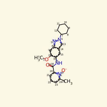 COc1cc2nn(C3CCCCC3)cc2cc1NC(=O)c1cccc(C)[n+]1[O-]